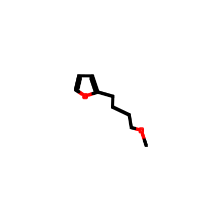 COCCCCc1ccco1